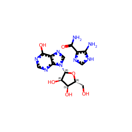 NC(=O)c1nc[nH]c1N.OC[C@H]1O[C@@H](n2cnc3c(O)ncnc32)[C@H](O)[C@@H]1O